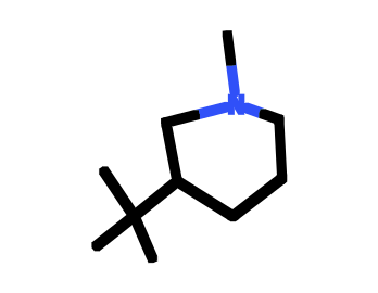 CN1CCCC(C(C)(C)C)C1